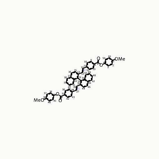 COc1ccc(OC(=O)c2ccc(/C=C/c3ccc4ccccc4c3-c3c(/C=C/c4ccc(C(=O)Oc5ccc(OC)cc5)cc4)ccc4ccccc34)cc2)cc1